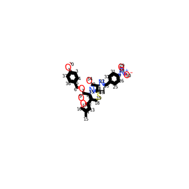 COc1ccc(COC(=O)C2=C(c3cc(C)co3)CS[C@H]3[C@@H](N=Cc4ccc([N+](=O)[O-])cc4)C(=O)N23)cc1